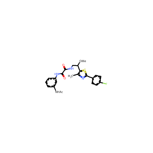 COC(CNC(=O)C(=O)Nc1cccc(NC(C)=O)c1)c1sc(-c2ccc(F)cc2)nc1C